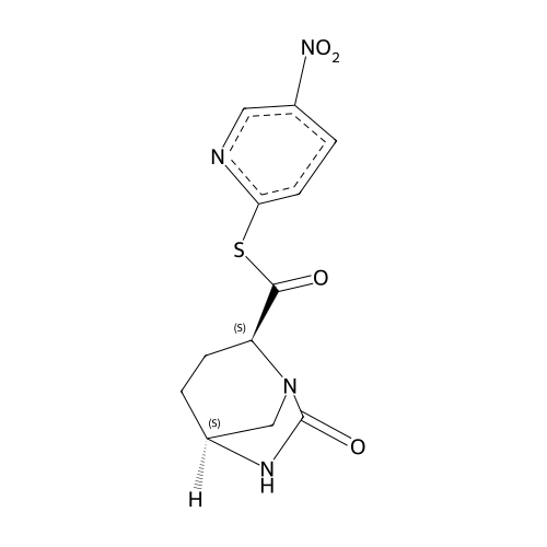 O=C(Sc1ccc([N+](=O)[O-])cn1)[C@@H]1CC[C@H]2CN1C(=O)N2